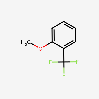 [CH2]Oc1ccccc1C(F)(F)F